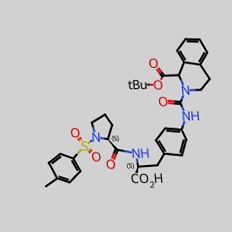 Cc1ccc(S(=O)(=O)N2CCC[C@H]2C(=O)N[C@@H](Cc2ccc(NC(=O)N3CCc4ccccc4C3C(=O)OC(C)(C)C)cc2)C(=O)O)cc1